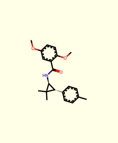 COc1ccc(OC)c(C(=O)N[C@H]2[C@H](c3ccc(C)cc3)C2(C)C)c1